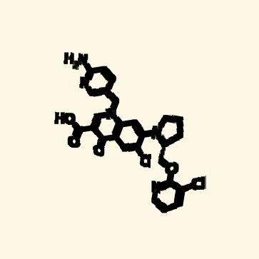 Nc1ccc(Cn2cc(C(=O)O)c(=O)c3cc(Cl)c(N4CCC[C@@H]4COc4ncccc4Cl)cc32)cn1